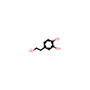 OCCc1ccc(O)c(O)c1